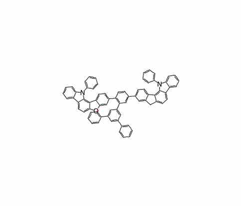 c1ccc(-c2cc(-c3ccccc3)cc(-c3cc(-c4ccc5c(c4)Cc4ccc6c7ccccc7n(-c7ccccc7)c6c4-5)ccc3-c3ccc4c(c3)oc3ccc5c6ccccc6n(-c6ccccc6)c5c34)c2)cc1